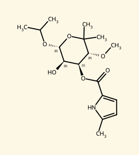 CO[C@@H]1[C@@H](OC(=O)c2ccc(C)[nH]2)[C@@H](O)[C@H](OC(C)C)OC1(C)C